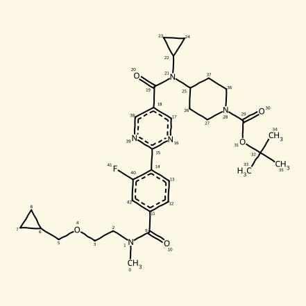 CN(CCOCC1CC1)C(=O)c1ccc(-c2ncc(C(=O)N(C3CC3)C3CCN(C(=O)OC(C)(C)C)CC3)cn2)c(F)c1